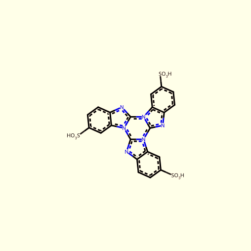 O=S(=O)(O)c1ccc2nc3n(c2c1)c1nc2ccc(S(=O)(=O)O)cc2n1c1nc2ccc(S(=O)(=O)O)cc2n31